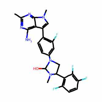 Cc1nc(N)c2c(-c3ccc(N4CC(c5c(F)ccc(F)c5F)N(C)C4O)cc3F)cn(C)c2n1